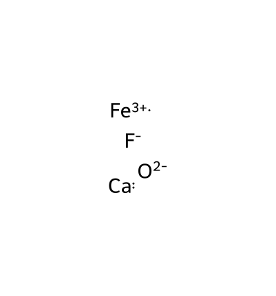 [Ca].[F-].[Fe+3].[O-2]